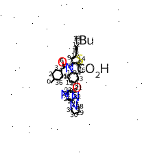 CC1CCC(C(=O)N(c2cc(C#CC(C)(C)C)sc2C(=O)O)C2CCC(Oc3cncc(N4CCCC4)n3)CC2)CC1